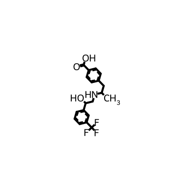 CC(Cc1ccc(C(=O)O)cc1)NCC(O)c1cccc(C(F)(F)F)c1